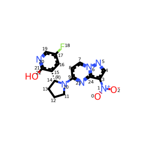 O=[N+]([O-])c1cnn2ccc(N3CCC[C@@H]3c3cc(F)cnc3O)nc12